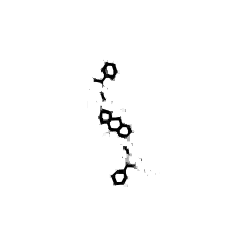 COC(=O)[C@@H](NCC(=O)Nc1ccc2c(c1)C(=O)c1ccc(NC(=O)CN[C@H](C(=O)OC)c3ccccc3)cc1C2=O)c1ccccc1